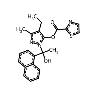 CCc1c(C)nn(C(C)(O)c2cccc3ccccc23)c1OC(=O)c1nccs1